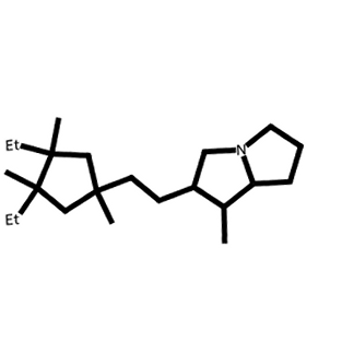 CCC1(C)CC(C)(CCC2CN3CCCC3C2C)CC1(C)CC